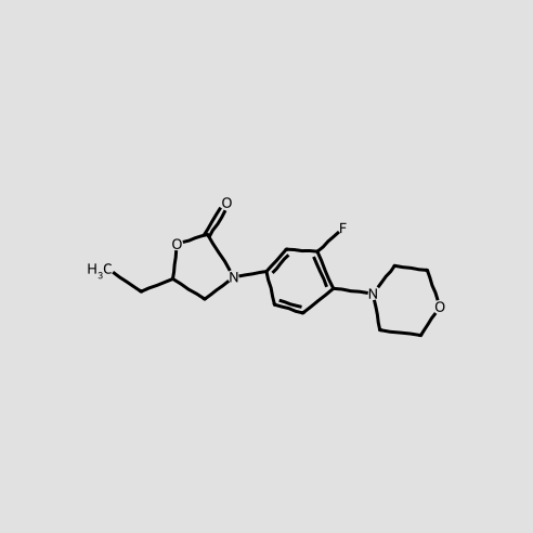 CCC1CN(c2ccc(N3CCOCC3)c(F)c2)C(=O)O1